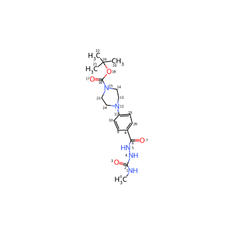 CNC(=O)NNC(=O)c1ccc(N2CCN(C(=O)OC(C)(C)C)CC2)cc1